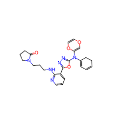 O=C1CCCN1CCCNc1ncccc1-c1nnc(N(C2=CC=CCC2)C2=COC=CO2)o1